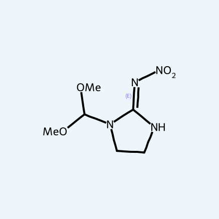 COC(OC)N1CCN/C1=N\[N+](=O)[O-]